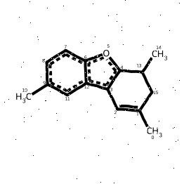 CC1=Cc2c(oc3ccc(C)cc23)C(C)C1